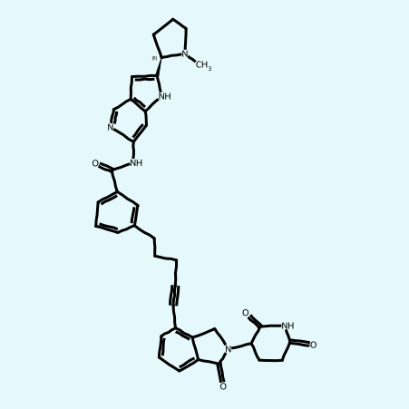 CN1CCC[C@@H]1c1cc2cnc(NC(=O)c3cccc(CCCC#Cc4cccc5c4CN(C4CCC(=O)NC4=O)C5=O)c3)cc2[nH]1